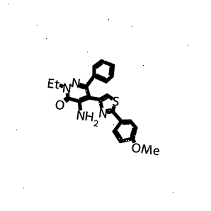 CCn1nc(-c2ccccc2)c(-c2csc(-c3ccc(OC)cc3)n2)c(N)c1=O